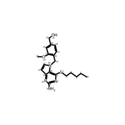 CCCCCSc1nc(N)nc2ccn(Cc3ccc(CO)cc3OC)c12